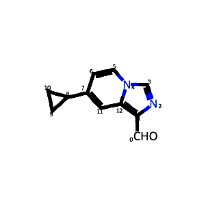 O=Cc1ncn2ccc(C3CC3)cc12